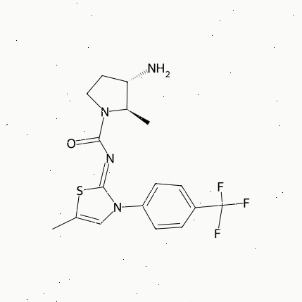 Cc1cn(-c2ccc(C(F)(F)F)cc2)c(=NC(=O)N2CC[C@H](N)[C@H]2C)s1